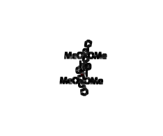 COc1cc(C2OC[C@@H]3[C@@H](c4cc(OC)c(OCc5ccccc5)c(OC)c4)OC[C@H]23)cc(OC)c1OCc1ccccc1